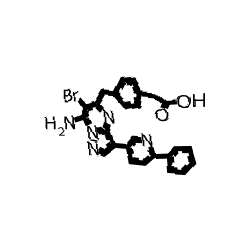 Nc1c(Br)c(Cc2ccc(CC(=O)O)cc2)nc2c(-c3ccc(-c4ccccc4)nc3)cnn12